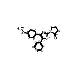 COc1ccc(-c2nc(N3CCCC3=O)sc2-c2ccncc2)cc1